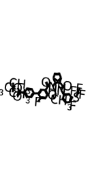 COc1cc(F)c(-c2ccc(C(=O)OC(C)(C)C)cc2)cc1C(=O)NC1C2C=CC(C2)C1C(=O)Nc1ccc(F)c(SC(F)(F)F)c1